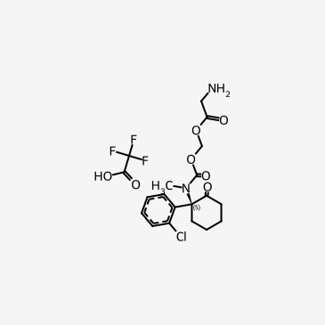 CN(C(=O)OCOC(=O)CN)[C@]1(c2ccccc2Cl)CCCCC1=O.O=C(O)C(F)(F)F